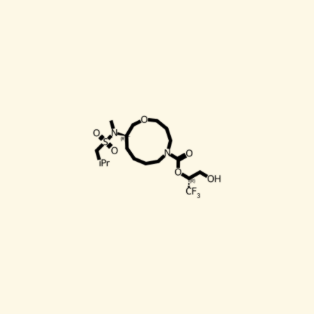 CC(C)CS(=O)(=O)N(C)[C@@H]1CCCCN(C(=O)O[C@H](CO)C(F)(F)F)CCCOC1